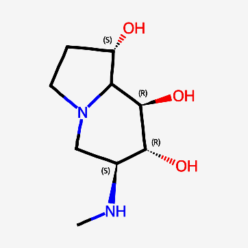 CN[C@H]1CN2CC[C@H](O)C2[C@@H](O)[C@@H]1O